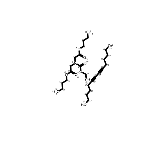 CCCCOC(=O)CN(CC(=O)OCCCC)C(=O)OCC.OCCCCC#CC#CCCCCO